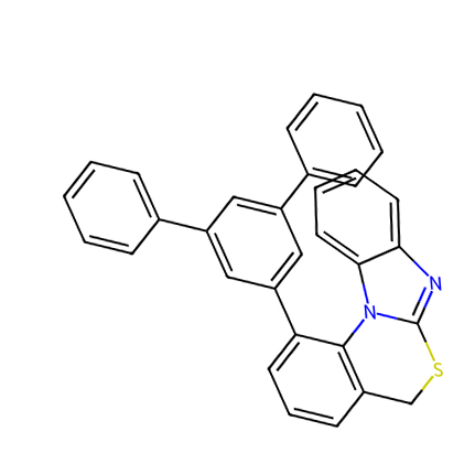 c1ccc(-c2cc(-c3ccccc3)cc(-c3cccc4c3-n3c(nc5ccccc53)SC4)c2)cc1